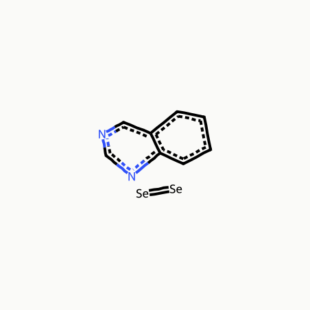 [Se]=[Se].c1ccc2ncncc2c1